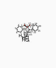 CC1=Cc2ccccc2[CH]1[Hf]([CH3])([CH3])(=[SiH2])[CH]1C(C)=Cc2ccccc21.Cl.Cl